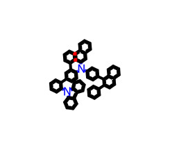 c1ccc(-c2cc(-c3ccccc3-n3c4ccccc4c4ccccc43)ccc2N(c2ccc(-c3c(-c4ccccc4)ccc4ccccc34)cc2)c2ccc3ccccc3c2)cc1